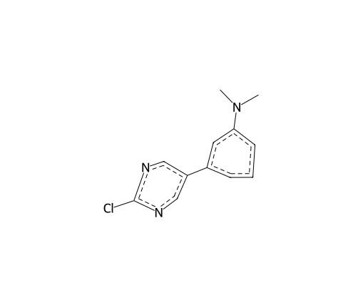 CN(C)c1cccc(-c2cnc(Cl)nc2)c1